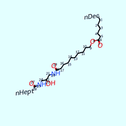 CCCCCCCCCCCCCCCC(=O)OCCCCCCCCCC(=O)NCC(O)CNC(=O)CCCCCCC